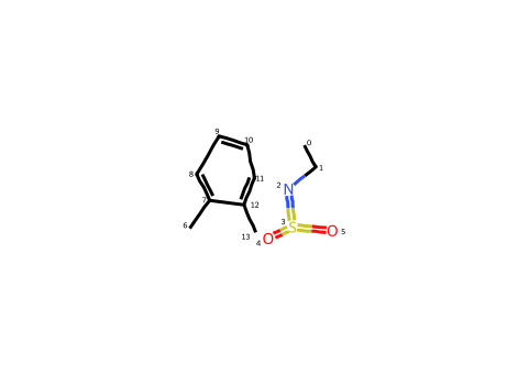 CCN=S(=O)=O.Cc1ccccc1C